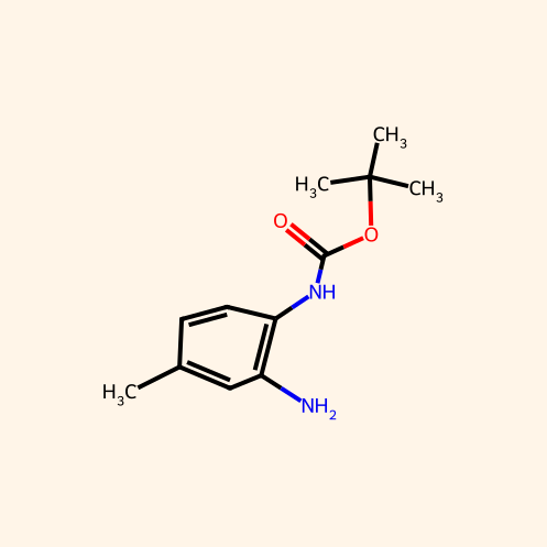 Cc1ccc(NC(=O)OC(C)(C)C)c(N)c1